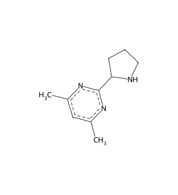 Cc1cc(C)nc(C2CCCN2)n1